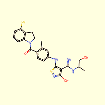 Cc1cc(Nc2snc(O)c2C(=N)NC(C)CO)ccc1C(=O)N1CCc2c(S)cccc21